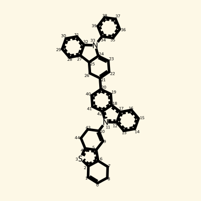 C1=Cc2sc3c(c2CC1)C=C(n1c2ccccc2c2cc(C4=CC=C5C(C4)c4ccccc4N5c4ccccc4)ccc21)CC3